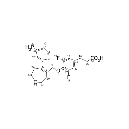 Cc1ccc(C2=C(COc3c(F)cc(CCC(=O)O)cc3F)CCOCC2)cc1P